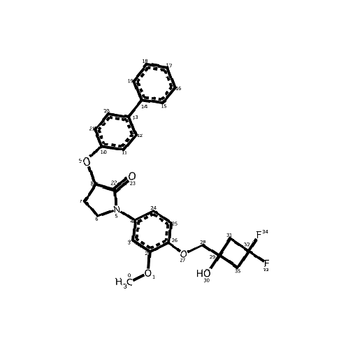 COc1cc(N2CCC(Oc3ccc(-c4ccccc4)cc3)C2=O)ccc1OCC1(O)CC(F)(F)C1